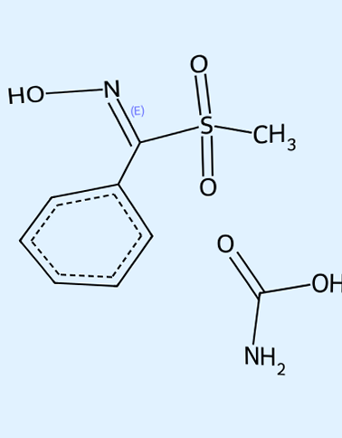 CS(=O)(=O)/C(=N/O)c1ccccc1.NC(=O)O